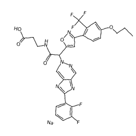 CCCOc1ccc(-c2cc(C(C(=O)NCCC(=O)O)n3cc4nc(-c5cccc(F)c5F)nc-4cn3)on2)c(C(F)(F)F)c1.[Na]